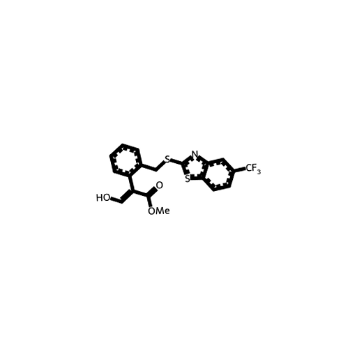 COC(=O)/C(=C/O)c1ccccc1CSc1nc2cc(C(F)(F)F)ccc2s1